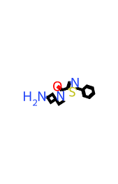 NC1CC2(CCN2C(=O)c2cnc(-c3ccccc3)s2)C1